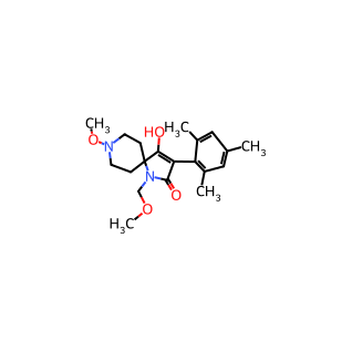 COCN1C(=O)C(c2c(C)cc(C)cc2C)=C(O)C12CCN(OC)CC2